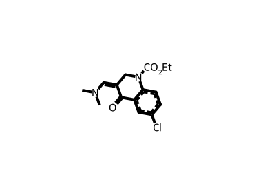 CCOC(=O)N1C/C(=C/N(C)C)C(=O)c2cc(Cl)ccc21